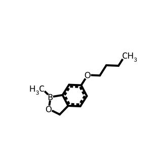 CCCCOc1ccc2c(c1)B(C)OC2